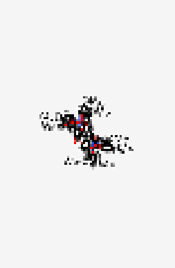 COc1ccc(N(c2ccc(OC)cc2)c2ccc3c(c2)C2(c4cc(N(c5ccc(OC)cc5)c5ccc(OC)cc5)ccc4O3)c3cc(N(c4ccc(OC)cc4)c4ccc(OC)cc4)ccc3-c3ccc(N(c4ccc(OC)cc4)c4ccc(OC)cc4)cc32)cc1